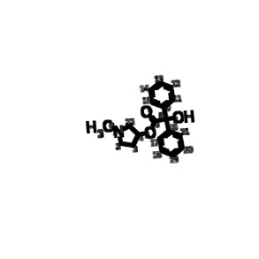 CN1CCC(OC(=O)C(O)(c2ccccc2)c2ccccc2)C1